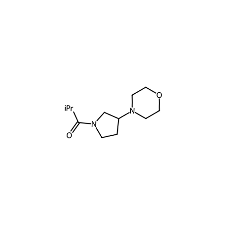 CC(C)C(=O)N1CCC(N2CCOCC2)C1